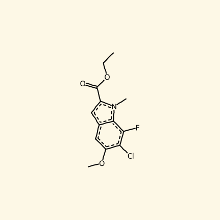 CCOC(=O)c1cc2cc(OC)c(Cl)c(F)c2n1C